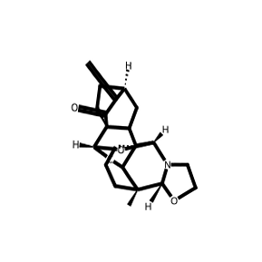 C=C1C(=O)[C@]23CC[C@H]1CC2[C@]12CCC[C@]4(C)C1C[C@H]3O[C@H]2N1CCO[C@@H]14